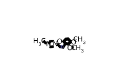 CCN1CCN(C(=O)/C=C\c2cccc(OC)c2OC)CC1